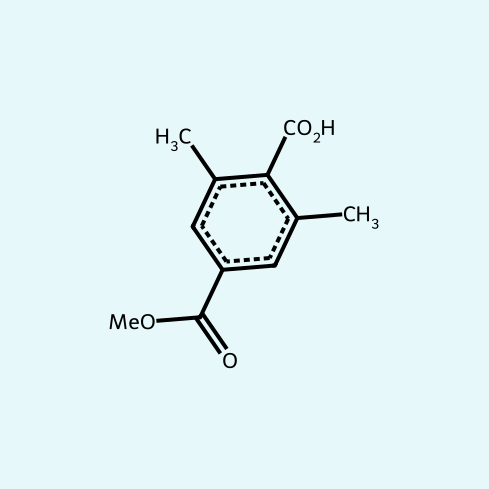 COC(=O)c1cc(C)c(C(=O)O)c(C)c1